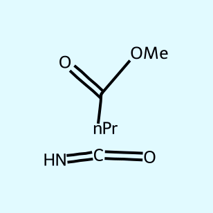 CCCC(=O)OC.N=C=O